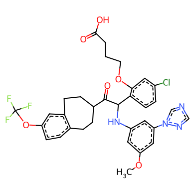 COc1cc(NC(C(=O)C2CCc3ccc(OC(F)(F)F)cc3CC2)c2ccc(Cl)cc2OCCCC(=O)O)cc(-n2cncn2)c1